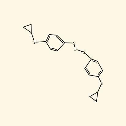 c1cc(SC2CC2)ccc1SOSc1ccc(SC2CC2)cc1